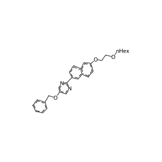 CCCCCCOCCOc1ccc2cc(-c3ncc(OCc4ccccc4)cn3)ccc2c1